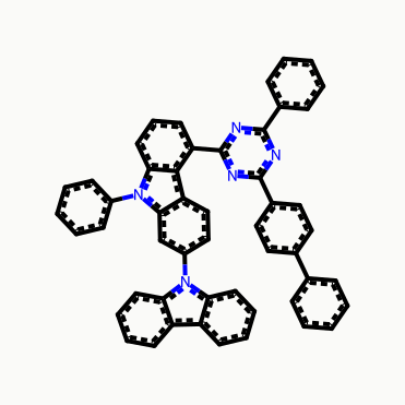 c1ccc(-c2ccc(-c3nc(-c4ccccc4)nc(-c4cccc5c4c4ccc(-n6c7ccccc7c7ccccc76)cc4n5-c4ccccc4)n3)cc2)cc1